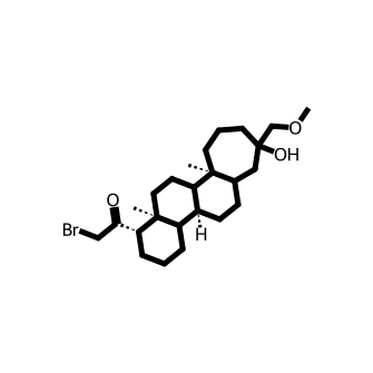 COCC1(O)CCC[C@@]2(C)C(CC[C@@H]3C2CC[C@@]2(C)C3CCC[C@@H]2C(=O)CBr)C1